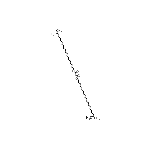 CC(C)CCCCCCCCCCCCCCCCCCCOC(=O)CC(=O)OCCCCCCCCCCCCCCCCCCCC(C)C